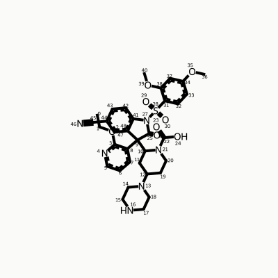 CCOc1ncccc1C1(C2CC(N3CCNCC3)CCN2C(=O)O)C(=O)N(S(=O)(=O)c2ccc(OC)cc2OC)c2ccc(C#N)cc21